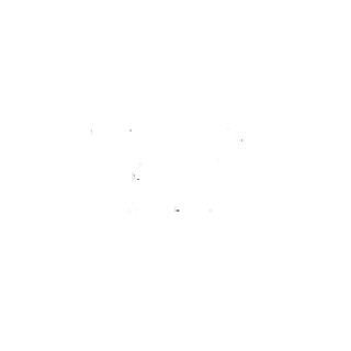 C=C(C)C1CCC(C)(O)C([N+]2([O-])CCOCC2)C1